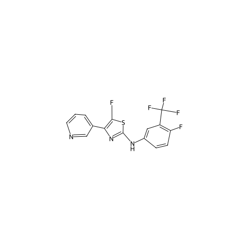 Fc1ccc(Nc2nc(-c3cccnc3)c(F)s2)cc1C(F)(F)F